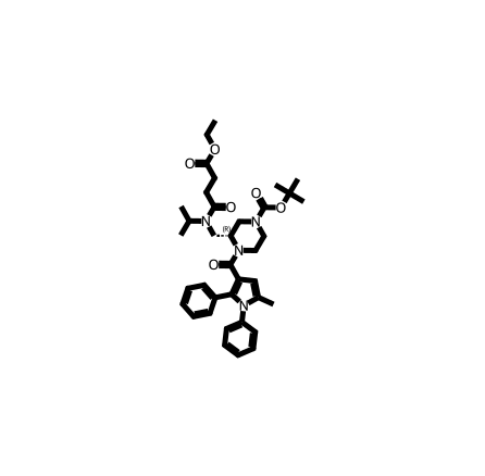 CCOC(=O)CCC(=O)N(C[C@@H]1CN(C(=O)OC(C)(C)C)CCN1C(=O)c1cc(C)n(-c2ccccc2)c1-c1ccccc1)C(C)C